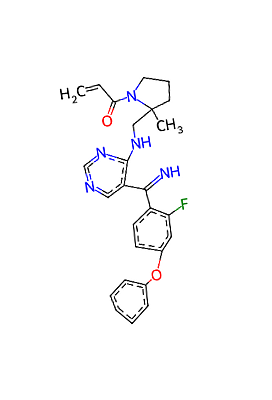 C=CC(=O)N1CCCC1(C)CNc1ncncc1C(=N)c1ccc(Oc2ccccc2)cc1F